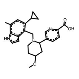 COC1CCN(Cc2c(C3CC3)cc(C)c3[nH]ccc23)C(c2ccc(C(=O)O)nc2)C1